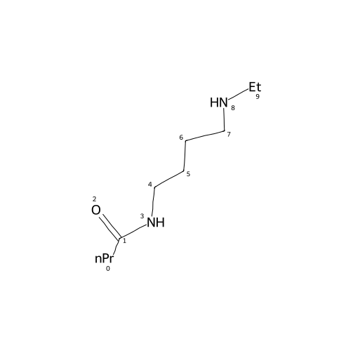 CCCC(=O)NCCCCNCC